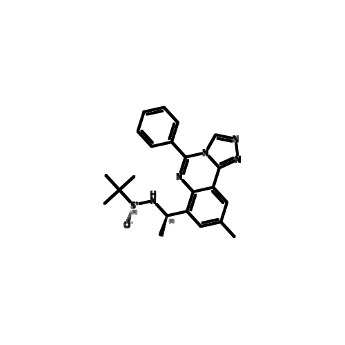 Cc1cc([C@@H](C)N[S@+]([O-])C(C)(C)C)c2nc(-c3ccccc3)n3cnnc3c2c1